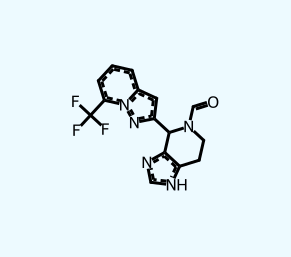 O=CN1CCc2[nH]cnc2C1c1cc2cccc(C(F)(F)F)n2n1